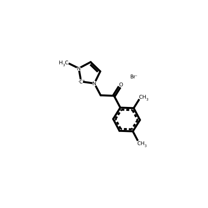 Cc1ccc(C(=O)CN2[C+]N(C)C=C2)c(C)c1.[Br-]